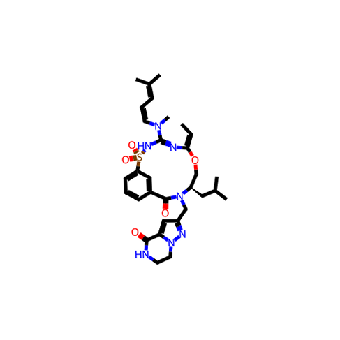 C/C=C1\N=C(/N(C)/C=C\C=C(C)C)NS(=O)(=O)c2cccc(c2)C(=O)N(Cc2cc3n(n2)CCNC3=O)[C@H](CC(C)C)CO1